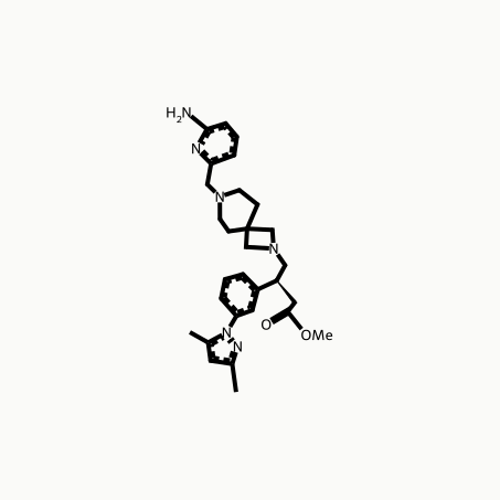 COC(=O)C[C@H](CN1CC2(CCN(Cc3cccc(N)n3)CC2)C1)c1cccc(-n2nc(C)cc2C)c1